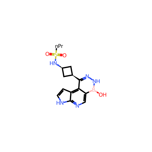 CCCS(=O)(=O)N[C@H]1C[C@@H](C2=NNB(O)c3cnc4[nH]ccc4c32)C1